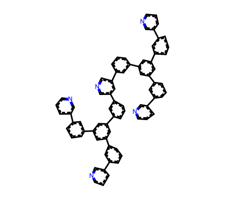 c1cncc(-c2cccc(-c3cc(-c4cccc(-c5cccnc5)c4)cc(-c4cccc(-c5cncc(-c6cccc(-c7cc(-c8cccc(-c9cccnc9)c8)cc(-c8cccc(-c9cccnc9)c8)c7)c6)c5)c4)c3)c2)c1